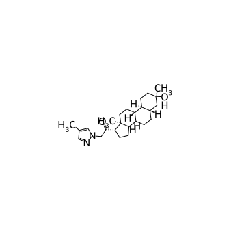 Cc1cnn(CC(=O)[C@H]2CC[C@H]3[C@@H]4CC[C@H]5C[C@](C)(O)CC[C@@H]5[C@H]4CC[C@]23C)c1